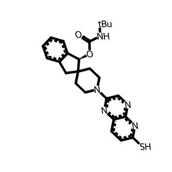 CC(C)(C)NC(=O)O[C@@H]1c2ccccc2CC12CCN(c1cnc3nc(S)ccc3n1)CC2